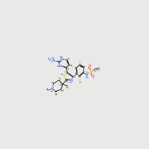 CCCS(=O)(=O)Nc1cccc(-c2nc(C3(C)CCN(C)CC3)sc2-c2ccnc(N)n2)c1F